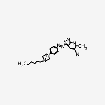 CCCCCCN1CCN(c2ccc(N=Nc3snc4nc(C)c(C#N)cc34)cc2)CC1